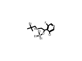 CCC(C)(C)CNCC(O[Si](CC)(CC)CC)c1c(F)cncc1Cl